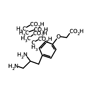 CC(=O)O.CC(=O)O.CC(=O)O.CC(=O)O.NCC(N)Cc1ccc(OCC(=O)O)cc1